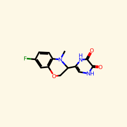 CN1c2ccc(F)cc2OCC1c1c[nH]c(=O)c(=O)[nH]1